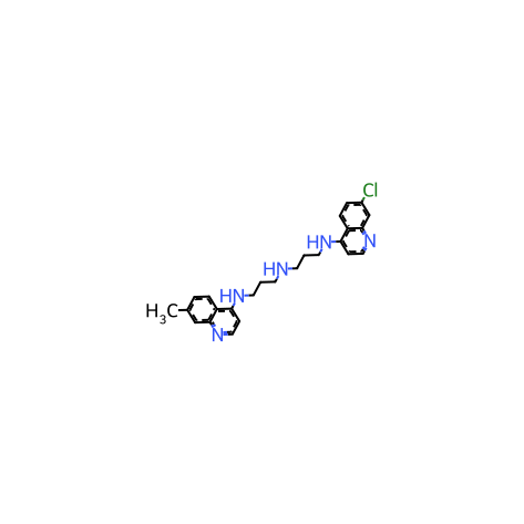 Cc1ccc2c(NCCCNCCCNc3ccnc4cc(Cl)ccc34)ccnc2c1